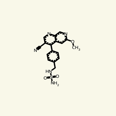 COc1cc2c(-c3ccc(CNS(N)(=O)=O)cc3)c(C#N)cnc2cn1